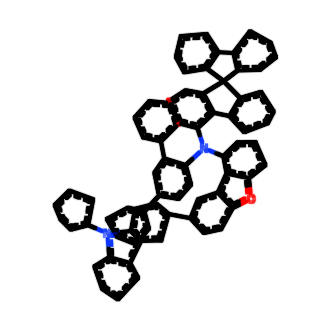 c1ccc(-c2ccc(N(c3cccc4c3-c3ccccc3C43c4ccccc4-c4ccccc43)c3cccc4oc5ccc(-c6ccc7c(c6)c6ccccc6n7-c6ccccc6)cc5c34)c(-c3ccccc3)c2)cc1